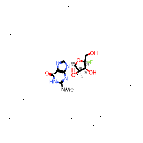 CNc1nc2c(ncn2[C@@H]2O[C@](F)(CO)[C@@H](O)[C@@]2(C)O)c(=O)[nH]1